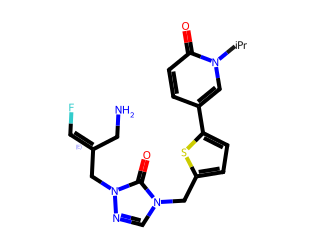 CC(C)n1cc(-c2ccc(Cn3cnn(C/C(=C/F)CN)c3=O)s2)ccc1=O